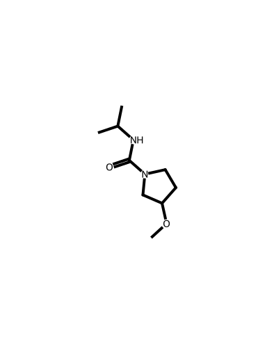 COC1CCN(C(=O)NC(C)C)C1